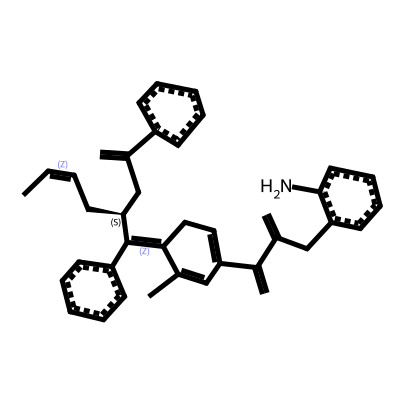 C=C(Cc1ccccc1N)C(=C)C1=CC/C(=C(/c2ccccc2)[C@@H](C/C=C\C)CC(=C)c2ccccc2)C(C)=C1